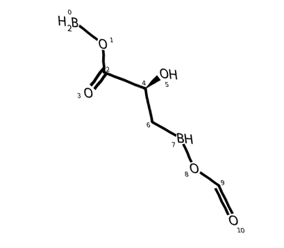 BOC(=O)[C@@H](O)CBOC=O